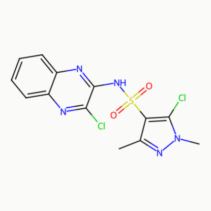 Cc1nn(C)c(Cl)c1S(=O)(=O)Nc1nc2ccccc2nc1Cl